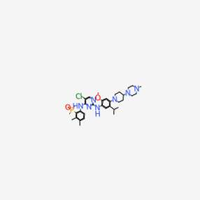 COc1cc(N2CCC(N3CCN(C)CC3)CC2)c(C(C)C)cc1Nc1ncc(Cl)c(Nc2ccc(C)c(C)c2P(C)(C)=O)n1